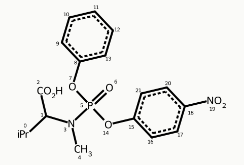 CC(C)C(C(=O)O)N(C)P(=O)(Oc1ccccc1)Oc1ccc([N+](=O)[O-])cc1